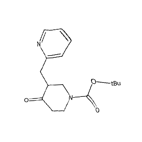 CC(C)(C)OC(=O)N1CCC(=O)C(Cc2ccccn2)C1